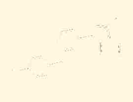 CC(C)n1cc(-c2ccnc(Nc3ccc(C#N)cc3Br)n2)c2ccncc21